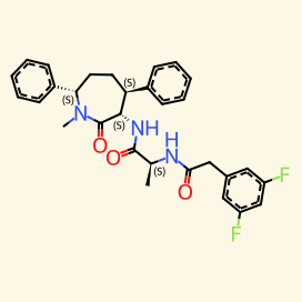 C[C@H](NC(=O)Cc1cc(F)cc(F)c1)C(=O)N[C@@H]1C(=O)N(C)[C@H](c2ccccc2)CC[C@H]1c1ccccc1